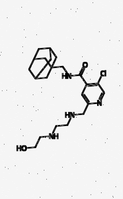 O=C(NCC12CC3CC(CC(C3)C1)C2)c1cc(CNCCNCCO)ncc1Cl